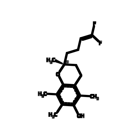 Cc1c(C)c2c(c(C)c1O)CC[C@](C)(CCC=C(F)F)O2